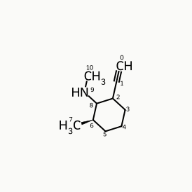 C#CC1CCC[C@@H](C)C1NC